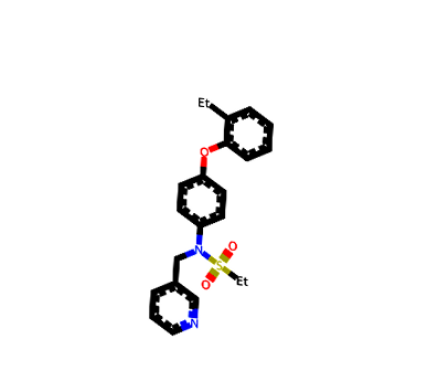 CCc1ccccc1Oc1ccc(N(Cc2cccnc2)S(=O)(=O)CC)cc1